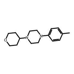 Cc1ccc(N2CCN(C3CCOCC3)CC2)cc1